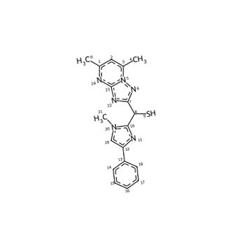 Cc1cc(C)n2nc(C(S)c3nc(-c4ccccc4)cn3C)nc2n1